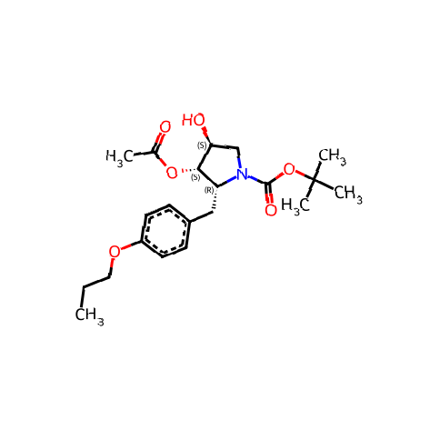 CCCOc1ccc(C[C@@H]2[C@H](OC(C)=O)[C@@H](O)CN2C(=O)OC(C)(C)C)cc1